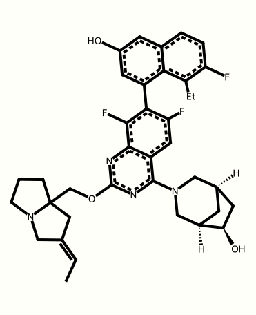 C/C=C1\CN2CCCC2(COc2nc(N3C[C@@H]4C[C@H](C3)[C@H](O)C4)c3cc(F)c(-c4cc(O)cc5ccc(F)c(CC)c45)c(F)c3n2)C1